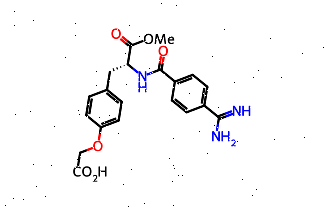 COC(=O)[C@@H](Cc1ccc(OCC(=O)O)cc1)NC(=O)c1ccc(C(=N)N)cc1